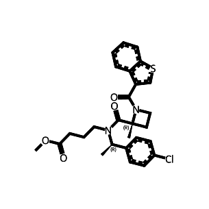 COC(=O)CCCN(C(=O)[C@@]1(C)CCN1C(=O)c1csc2ccccc12)[C@H](C)c1ccc(Cl)cc1